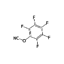 N#COc1c(F)c(F)c(F)c(F)c1F